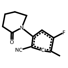 Cc1cc(C#N)c(N2CCCCC2=O)cc1F